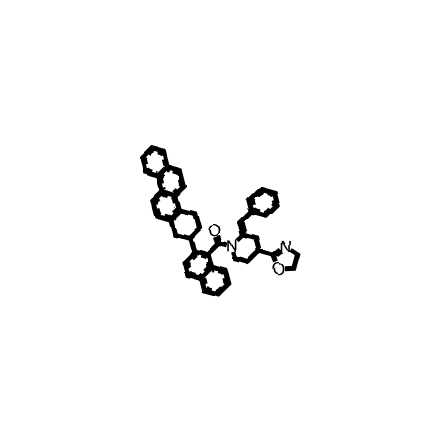 O=C(c1c(C2CCc3c(ccc4c3ccc3ccccc34)C2)ccc2ccccc12)N1CCC(C2=NCCO2)CC1=Cc1ccccc1